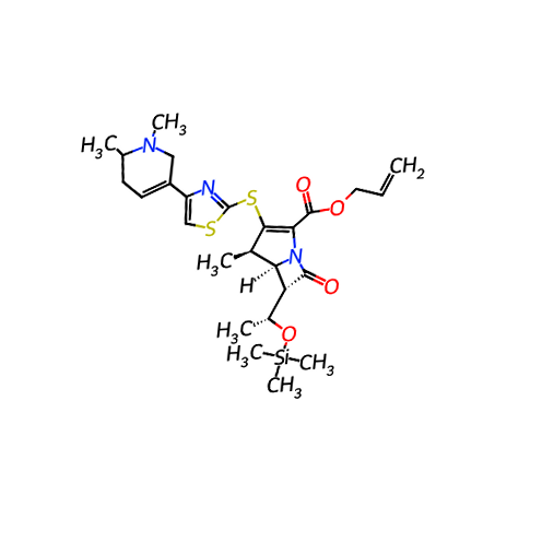 C=CCOC(=O)C1=C(Sc2nc(C3=CCC(C)N(C)C3)cs2)[C@H](C)[C@@H]2[C@@H]([C@@H](C)O[Si](C)(C)C)C(=O)N12